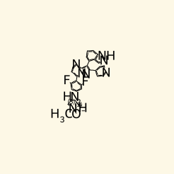 C[N+]1([O-])C[C@@H]2C[C@H]1CN2c1cc(F)c(-c2ccnc3c(-c4cccc5[nH]ncc45)c(-c4ccncc4)nn23)c(F)c1